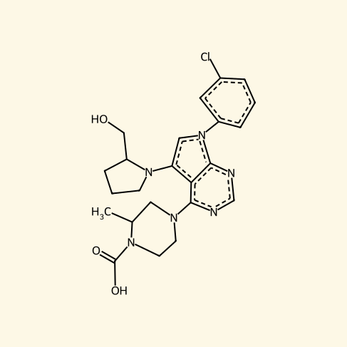 CC1CN(c2ncnc3c2c(N2CCCC2CO)cn3-c2cccc(Cl)c2)CCN1C(=O)O